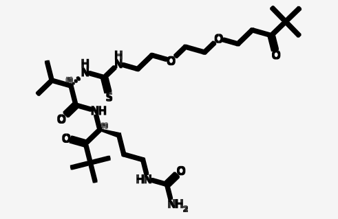 CC(C)[C@H](NC(=S)NCCOCCOCCC(=O)C(C)(C)C)C(=O)N[C@@H](CCCNC(N)=O)C(=O)C(C)(C)C